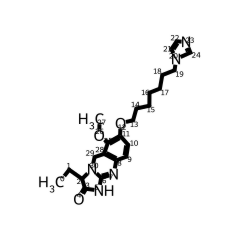 CCC1C(=O)NC2=Nc3ccc(OCCCCCCCn4ccnc4)c(OC)c3CN21